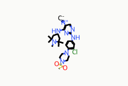 [C-]#[N+]c1cnc(Nc2ccc(N3CCN(S(C)(=O)=O)CC3)c(Cl)c2)nc1NC1CC(C)(C)N(C)C(C)(C)C1